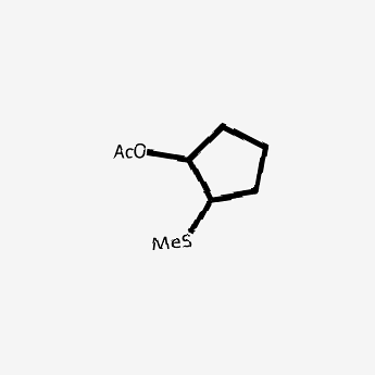 CSC1CCCC1OC(C)=O